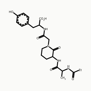 CCC(=O)NC(C)C(=O)NC1CCCN(CC(=O)NC(Cc2ccc(O)cc2)C(=O)O)C1=O